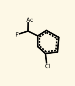 CC(=O)C(F)c1cccc(Cl)c1